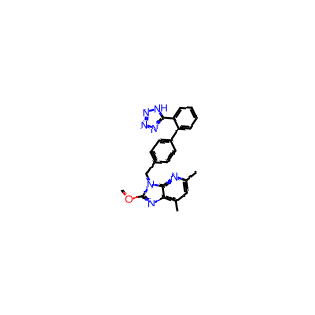 COc1nc2c(C)cc(C)nc2n1Cc1ccc(-c2ccccc2-c2nnn[nH]2)cc1